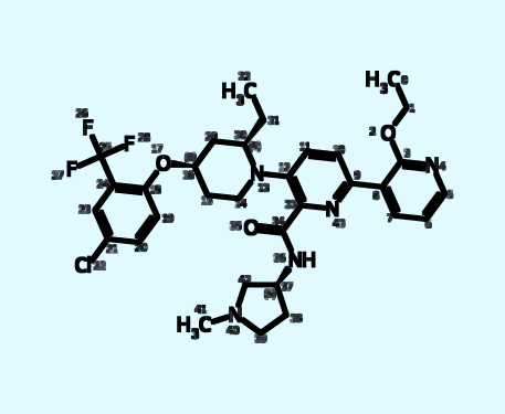 CCOc1ncccc1-c1ccc(N2CC[C@@H](Oc3ccc(Cl)cc3C(F)(F)F)C[C@H]2CC)c(C(=O)N[C@H]2CCN(C)C2)n1